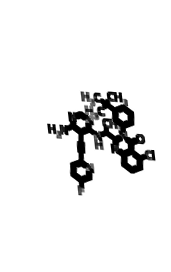 CC(Nc1ncnc(N)c1C#Cc1ccc(F)cn1)c1nc2cccc(Cl)c2c(=O)n1-c1cccc(C(C)(C)C)c1